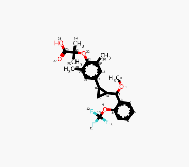 COC(c1ccccc1OC(F)(F)F)C1CC1c1cc(C)c(OC(C)(C)C(=O)O)c(C)c1